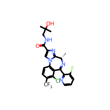 C[C@@H]1N=C(c2ncccc2F)c2c(ccc(C(F)(F)F)c2Cl)-n2cc(C(=O)NCC(C)(C)O)nc21